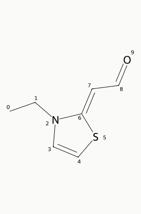 CCN1C=CSC1=CC=O